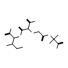 CCC(C)C(NC(=O)C(NCC(=O)OC(C)(C)C(=O)O)C(=O)O)C(=O)O